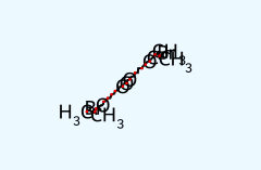 CC(Br)CC(C)CCCOCCCCCCCCCOCOCOCCCCCCCCCOCCCC(C)CC(C)Br